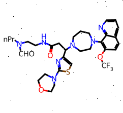 CCCN(C=O)CCNC(=O)CC(c1csc(N2CCOCC2)n1)N1CCCN(c2c(OC(F)(F)F)ccc3cccnc23)CC1